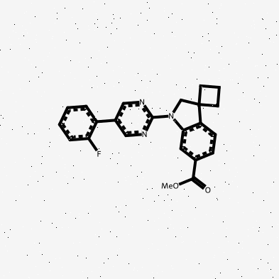 COC(=O)c1ccc2c(c1)N(c1ncc(-c3ccccc3F)cn1)CC21CCC1